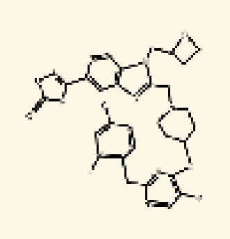 O=c1[nH]c(-c2cc3nc(CN4CCC(Oc5nc(Cc6ccc(Cl)cc6F)ncc5F)CC4)n(CC4CCO4)c3cn2)no1